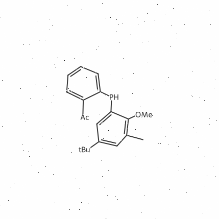 COc1c(C)cc(C(C)(C)C)cc1Pc1ccccc1C(C)=O